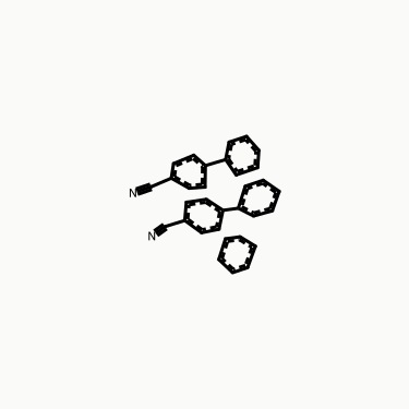 N#Cc1ccc(-c2ccccc2)cc1.N#Cc1ccc(-c2ccccc2)cc1.c1ccccc1